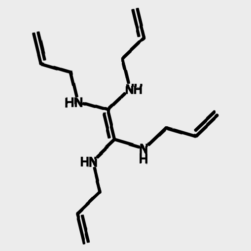 C=CCNC(NCC=C)=C(NCC=C)NCC=C